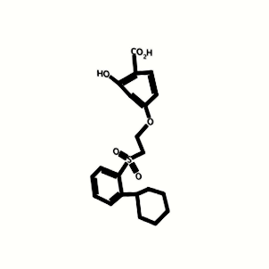 O=C(O)c1ccc(OCCS(=O)(=O)c2ccccc2C2CCCCC2)cc1O